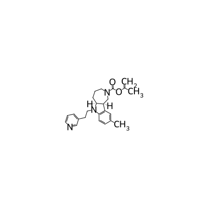 C=C(C)OC(=O)N1CCC[C@H]2[C@@H](C1)c1cc(C)ccc1N2CCc1cccnc1